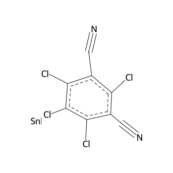 N#Cc1c(Cl)c(Cl)c(Cl)c(C#N)c1Cl.[Sn]